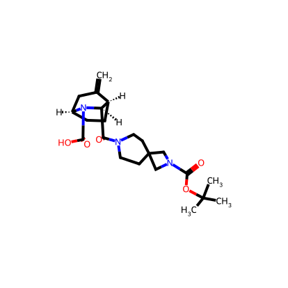 C=C1C[C@@H]2CC[C@H]1[C@@H](C(=O)N1CCC3(CC1)CN(C(=O)OC(C)(C)C)C3)N2C(=O)O